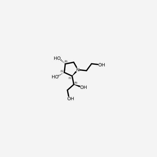 OCCN1C[C@@H](O)[C@@H](O)[C@@H]1[C@@H](O)CO